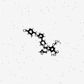 CCOc1cc(C(=O)O)cc2c1nc(CN1CCC(c3cccc(OCc4ccc(Cl)cc4F)n3)CC1)n2CC1CCO1